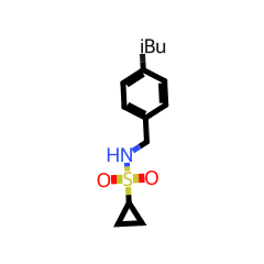 CCC(C)c1ccc(CNS(=O)(=O)C2CC2)cc1